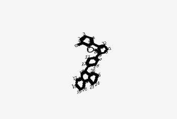 Cc1cccc2c1oc1c(-c3ccc(-c4cc5ccccc5c5ccccc45)cc3)cccc12